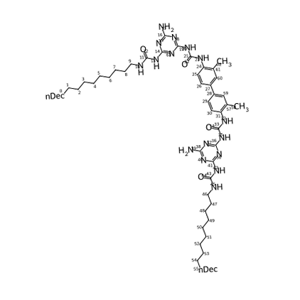 CCCCCCCCCCCCCCCCCCCNC(=O)Nc1nc(N)nc(NC(=O)Nc2ccc(-c3ccc(NC(=O)Nc4nc(N)nc(NC(=O)NCCCCCCCCCCCCCCCCCCC)n4)c(C)c3)cc2C)n1